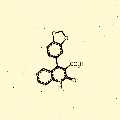 O=C(O)c1c(-c2ccc3c(c2)OCO3)c2ccccc2[nH]c1=O